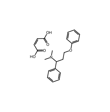 CN(C)C(CCOc1ccccc1)c1ccccc1.O=C(O)/C=C\C(=O)O